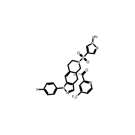 CCCn1cc(S(=O)(=O)N2CCC3=Cc4c(cnn4-c4ccc(F)cc4)C[C@]3(C(=O)c3cc(C(F)(F)F)ccn3)C2)cn1